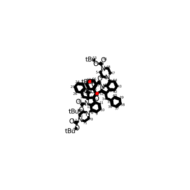 CC(C)(C)OC(=O)N1CCN(c2cccc3c2N(C(=O)OC(C)(C)C)C(Cc2ccccc2)(C(=O)OC(=O)c2c(Cc4ccccc4)c4cccc(N5CCN(C(=O)OC(C)(C)C)CC5)c4n2C(=O)OC(C)(C)C)C3Cc2ccccc2)CC1